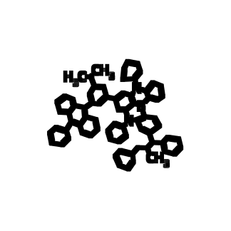 CC(C)c1cc(-c2cc3c4c(c2)N(c2ccccc2)c2cc(C(c5ccccc5)C(C)Cc5ccccc5)ccc2B4c2ccccc2N3c2ccccc2)cc(-c2c3ccccc3c(-c3ccccc3)c3ccccc23)c1